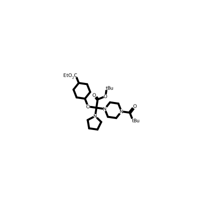 CCOC(=O)C1CCC(OC(C(=O)OC(C)(C)C)(N2CCCC2)N2CCN(C(=O)C(C)(C)C)CC2)CC1